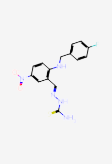 NC(=S)NN=Cc1cc([N+](=O)[O-])ccc1NCc1ccc(F)cc1